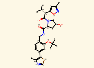 Cc1cc([C@H](C(=O)N2C[C@H](O)C[C@H]2C(=O)NCc2ccc(-c3scnc3C)cc2OC(C)(C)C)C(C)C)on1